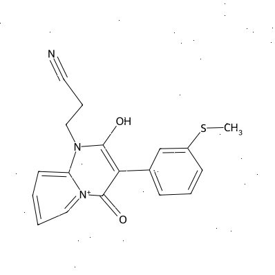 CSc1cccc(-c2c(O)n(CCC#N)c3cccc[n+]3c2=O)c1